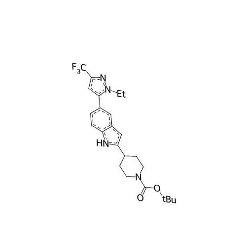 CCn1nc(C(F)(F)F)cc1-c1ccc2[nH]c(C3CCN(C(=O)OC(C)(C)C)CC3)cc2c1